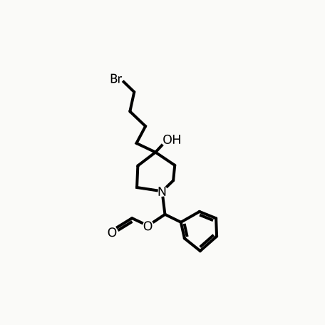 O=COC(c1ccccc1)N1CCC(O)(CCCCBr)CC1